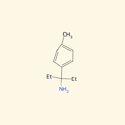 CCC(N)(CC)c1ccc(C)cc1